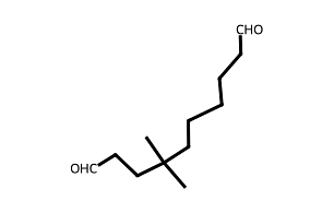 CC(C)(CCC=O)CCCCCC=O